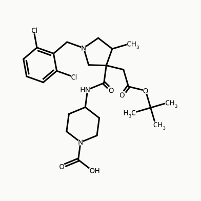 CC1CN(Cc2c(Cl)cccc2Cl)CC1(CC(=O)OC(C)(C)C)C(=O)NC1CCN(C(=O)O)CC1